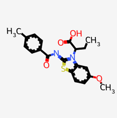 CCC(C(=O)O)n1/c(=N/C(=O)c2ccc(C)cc2)sc2ccc(OC)cc21